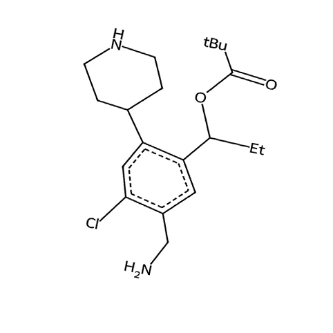 CCC(OC(=O)C(C)(C)C)c1cc(CN)c(Cl)cc1C1CCNCC1